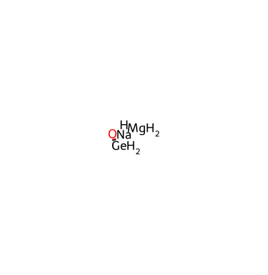 [MgH2].[NaH].[O]=[GeH2]